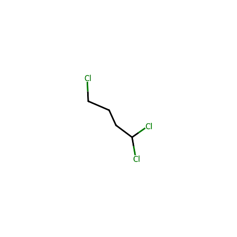 ClCCCC(Cl)Cl